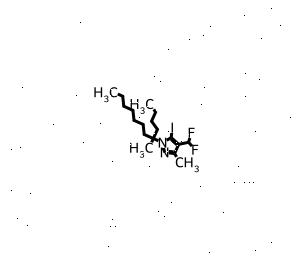 CCCCCCCC(C)(CCCC)n1nc(C)c(C(F)F)c1I